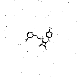 N#Cc1ccc(Nc2c(NCCc3cccc(Cl)c3)c(=O)c2=O)cc1